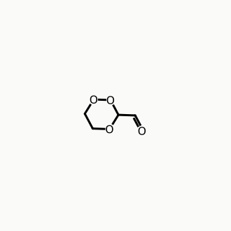 O=CC1OCCOO1